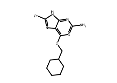 CC(C)c1nc2c(OCC3CCCCC3)nc(N)nc2[nH]1